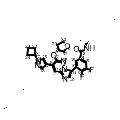 CNC(=O)c1cc(F)c(F)c(-c2cnc3cc(-c4cnn(C5CCC5)c4)c(O[C@H]4CCOC4)nn23)c1